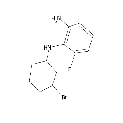 Nc1cccc(F)c1NC1CCCC(Br)C1